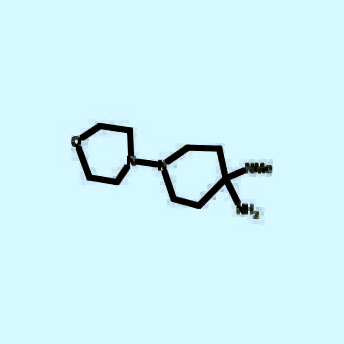 CNC1(N)CCN(N2CCOCC2)CC1